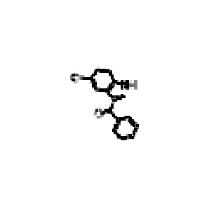 O=C(c1ccccc1)c1c[nH]c2ccc(Cl)cc12